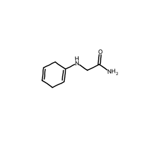 NC(=O)CNC1=CCC=CC1